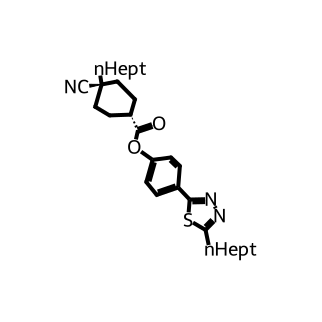 CCCCCCCc1nnc(-c2ccc(OC(=O)[C@H]3CC[C@@](C#N)(CCCCCCC)CC3)cc2)s1